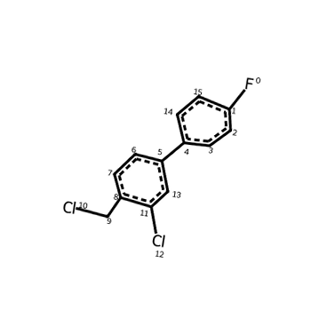 Fc1ccc(-c2ccc(CCl)c(Cl)c2)cc1